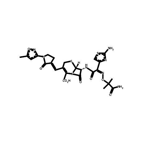 Cc1cc(N2CCC(=CC3=C(C(=O)O)N4C(=O)[C@@H](NC(=O)/C(=N\OC(C)(C)C(N)=O)c5csc(N)n5)[C@H]4SC3)C2=O)no1